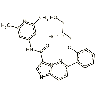 Cc1cc(NC(=O)c2cnc3ccc(-c4ccccc4OC[C@H](O)CO)nn23)cc(C)n1